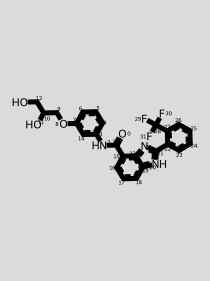 O=C(Nc1cccc(OCC(O)CO)c1)c1cccc2[nH]c(-c3ccccc3C(F)(F)F)nc12